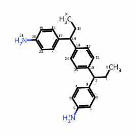 CCC(c1ccc(N)cc1)c1ccc(C(CC)c2ccc(N)cc2)cc1